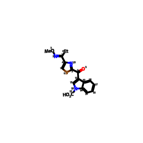 CCC(=NOC)c1csc(C(=O)c2cn(C(=O)O)c3ccccc23)n1